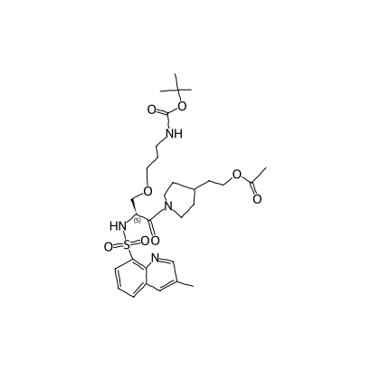 CC(=O)OCCC1CCN(C(=O)[C@H](COCCCNC(=O)OC(C)(C)C)NS(=O)(=O)c2cccc3cc(C)cnc23)CC1